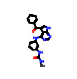 CC(C)(C)NC(=O)Nc1cccc(Nc2ncnc3[nH]cc(C(=O)c4ccccc4)c23)c1